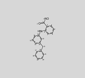 O=NC(=O)c1ccccc1Nc1cncc(Cc2ccccc2)c1